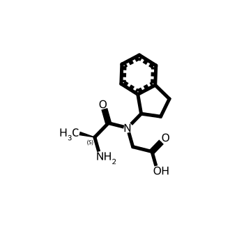 C[C@H](N)C(=O)N(CC(=O)O)C1CCc2ccccc21